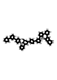 CC1C=C(c2ccc(-c3cccc(-c4cccc5c4Nc4cc6ccccc6cc4-c4ccccc4-5)c3)cc2)C=C2c3ccccc3N(c3ccc(-c4cccc(-c5ccccc5)c4)cc3)C21